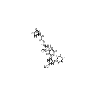 CCc1nc(-c2ccccc2)n(-c2cccc(C(=O)NCCCCn3nccn3)c2)n1